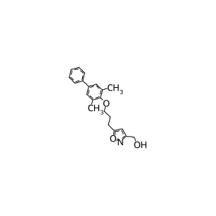 Cc1cc(-c2ccccc2)cc(C)c1OCCCc1cc(CO)no1